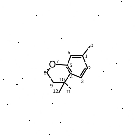 Cc1ccc2c(c1)OCCC2(C)C